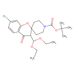 CCOC(OCC)C1C(=O)c2ccc(Cl)cc2OC12CCN(C(=O)OC(C)(C)C)CC2